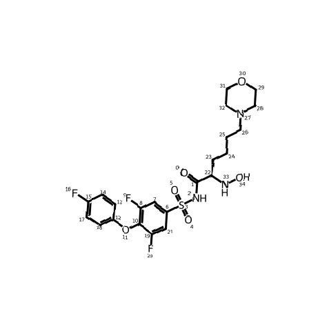 O=C(NS(=O)(=O)c1cc(F)c(Oc2ccc(F)cc2)c(F)c1)[C@@H](CCCCN1CCOCC1)NO